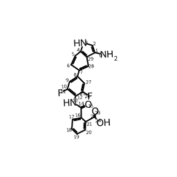 Nc1c[nH]c2ccc(-c3cc(F)c(NC(=O)c4ccccc4C(=O)O)c(F)c3)cc12